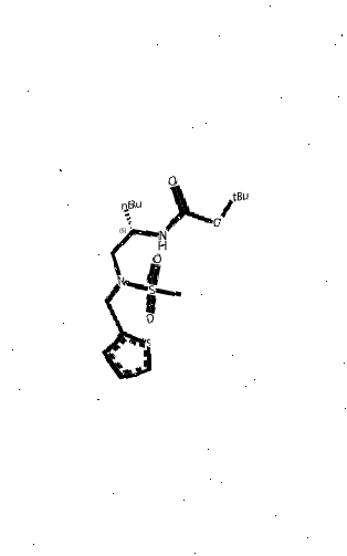 [CH2]CCC[C@@H](CN(Cc1cccs1)S(C)(=O)=O)NC(=O)OC(C)(C)C